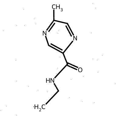 [CH2]CNC(=O)c1cnc(C)cn1